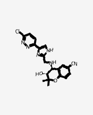 CC1(C)Oc2ccc(C#N)cc2[C@H](NCc2nc(-c3ccc(Cl)nn3)c[nH]2)[C@H]1O